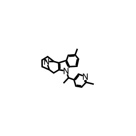 Cc1ccc2c(c1)c1c(n2C(C)c2ccc(C)nc2)CC2CCCC1N2C